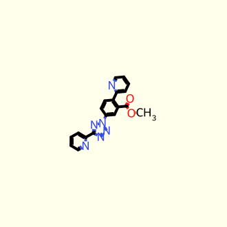 COC(=O)c1cc(-n2nnc(-c3ccccn3)n2)ccc1-c1ccccn1